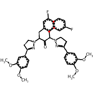 COc1ccc(C2=NN(C(Cc3cccc(F)c3)C(=O)C(Cc3cccc(F)c3)N3CCC(c4ccc(OC)c(OC)c4)=N3)CC2)cc1OC